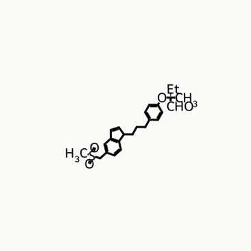 CC[C@](C)(C=O)Oc1ccc(CCCC2C=Cc3cc(CS(C)(=O)=O)ccc32)cc1